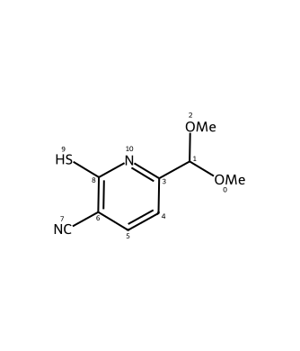 COC(OC)c1ccc(C#N)c(S)n1